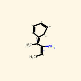 C/C=C(N)\C(C)=C1\C=CC=CC1